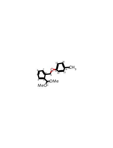 COC(OC)c1ccccc1COc1ccc(C)cc1